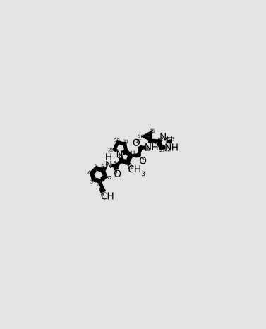 C#Cc1cccc(NC(=O)c2c(C)c(C(=O)C(=O)NC3(c4c[nH]nn4)CC3)c3n2CCC3)c1